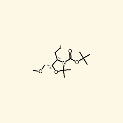 COC[C@H]1OC(C)(C)N(C(=O)OC(C)(C)C)[C@@H]1CI